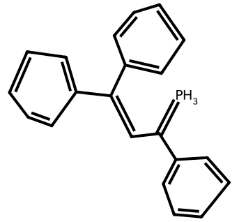 [PH3]=C(C=C(c1ccccc1)c1ccccc1)c1ccccc1